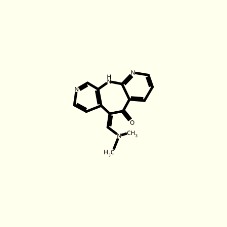 CN(C)C=C1C(=O)c2cccnc2Nc2cnccc21